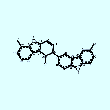 Cc1ccc2oc3ccc(C4C=Cc5oc6c(C)cccc6c5C4C)cc3c2c1